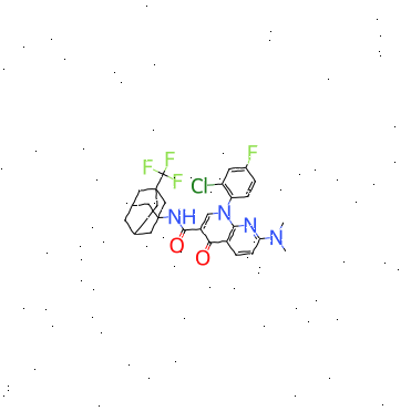 CN(C)c1ccc2c(=O)c(C(=O)NC34CC5CC(C3)CC(C(F)(F)F)(C5)C4)cn(-c3ccc(F)cc3Cl)c2n1